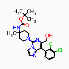 CC1(NC(=O)OC(C)(C)C)CCN(c2nc(CO)c(-c3cccc(Cl)c3Cl)c3nccn23)CC1